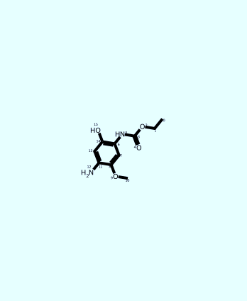 CCOC(=O)Nc1cc(OC)c(N)cc1O